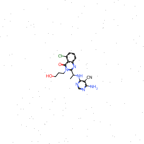 CC(Nc1ncnc(N)c1C#N)c1nc2cccc(Cl)c2c(=O)n1CCCO